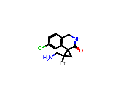 CCC1(CN)CC12C(=O)NCc1ccc(Cl)cc12